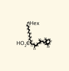 CCCCCCC=CC=CCCCCCCC(CC=C(C)C=CC=C(C)C=CC1=C(C)CCCC1(C)C)C(=O)O